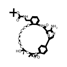 CC(C)(C)OC(=O)NCc1cccc2c1OCCCCOC[C@@](C)(O)CC(C)(C)S(=O)(=O)c1ccc(cc1)-c1cnc(N)c(n1)C(=O)N2